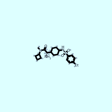 CCc1ccc(S(=O)(=O)NC2CCC([C@H](N)C(=O)N(C)C3CCC3)CC2)cc1